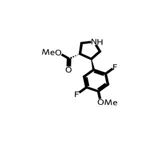 COC(=O)[C@@H]1CNC[C@H]1c1cc(F)c(OC)cc1F